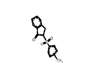 Cc1ccc(S(=O)(=O)C2Cc3ccccc3C2=O)cc1